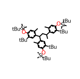 Cc1cc(O[Si](C)(C)C(C)(C)C)c(C(C)(C)C)cc1C(C)CC(c1cc(C(C)(C)C)c(O[Si](C)(C)C(C)(C)C)cc1C)c1cc(C(C)(C)C)c(O[Si](C)(C)C(C)(C)C)cc1C